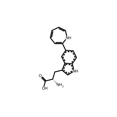 N[C@@H](Cc1c[nH]c2ccc(C3=CC=CC=CN3)cc12)C(=O)O